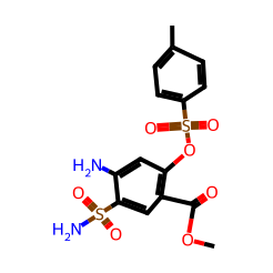 COC(=O)c1cc(S(N)(=O)=O)c(N)cc1OS(=O)(=O)c1ccc(C)cc1